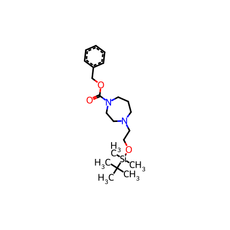 CC(C)(C)[Si](C)(C)OCCN1CCCN(C(=O)OCc2ccccc2)CC1